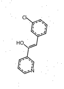 OC(=Cc1cccc(Cl)c1)c1cccnc1